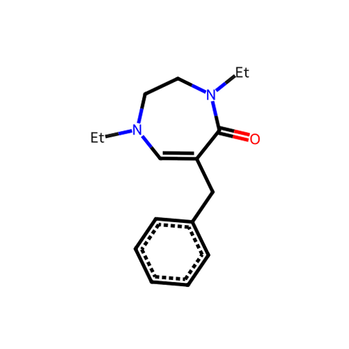 CCN1C=C(Cc2ccccc2)C(=O)N(CC)CC1